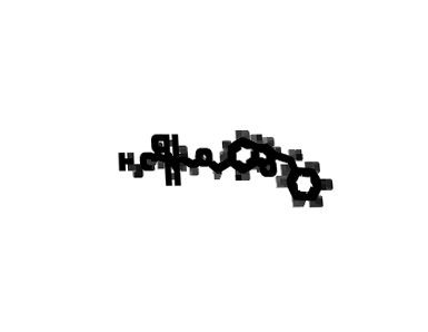 CC(C)NCCOCc1ccc2cc(Cc3ccccc3)oc2c1